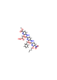 CCCCOc1nc(C(=O)Nc2ccc(C(=O)Nc3ccc(C(=O)OC)nc3OCC(=O)O)nc2OCc2ccccc2)ccc1[N+](=O)[O-]